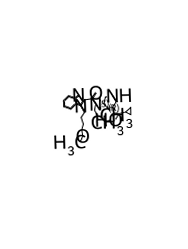 COCCCCn1c(C(=O)N(CC(C)C)[C@@H]2CNC[C@H](C(O)C3CC3)C2)nc2ccccc21